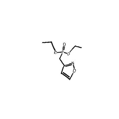 CCOP(=O)(Cc1ccon1)OCC